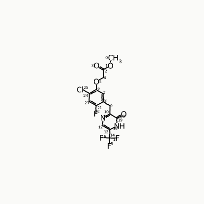 COC(=O)COc1cc(Cc2ncc(C(F)(F)F)[nH]c2=O)c(F)cc1Cl